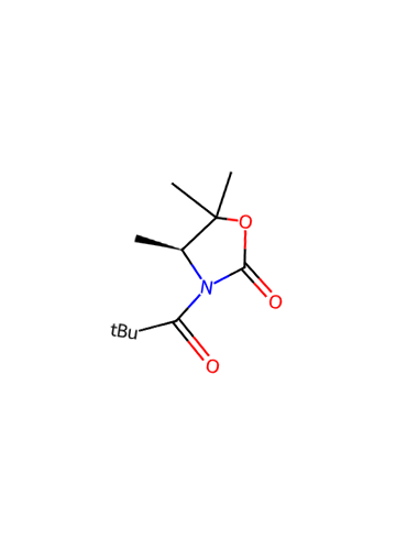 C[C@@H]1N(C(=O)C(C)(C)C)C(=O)OC1(C)C